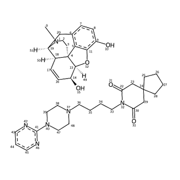 CN1CC[C@]23c4c5ccc(O)c4O[C@H]2[C@@H](O)C=C[C@H]3[C@H]1C5.O=C1CC2(CCCC2)CC(=O)N1CCCCN1CCN(c2ncccn2)CC1